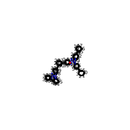 C1=CCCC(c2ccc(N(c3ccc(-c4ccccc4)cc3)c3ccc(-c4cccc(-c5ccc(-n6c7ccccc7c7ccccc76)cc5)c4)cc3)cc2)=C1